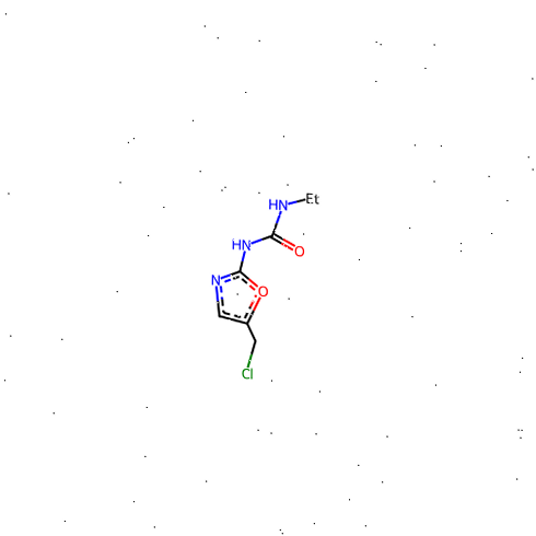 CCNC(=O)Nc1ncc(CCl)o1